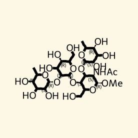 CO[C@@H]1OC(CO)[C@@H](O[C@@H]2OC(CO)[C@H](O)C(O)[C@@H]2O[C@H]2OC(C)[C@H](O)C(O)[C@@H]2O)C(O[C@H]2OC(C)[C@H](O)C(O)[C@@H]2O)[C@@H]1NC(C)=O